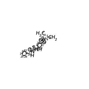 C=CCN(CC=C)S(=O)(=O)c1ccc(NC(=S)NC(=O)Cc2ccccc2)cc1